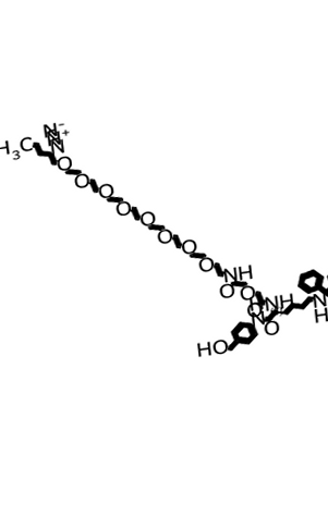 CCCC(COCCOCCOCCOCCOCCOCCOCCOCCNC(=O)COCC(=O)N[C@@H](CCCCNC(c1ccccc1)(c1ccccc1)c1ccc(OC)cc1)C(=O)Nc1ccc(CO)cc1)N=[N+]=[N-]